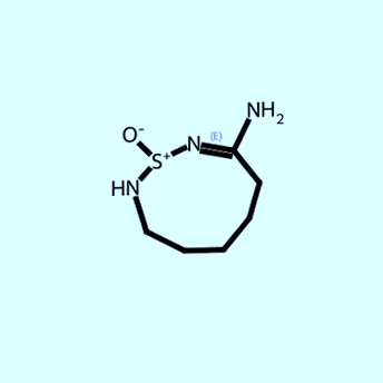 N/C1=N/[S+]([O-])NCCCCC1